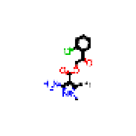 CC(C)c1c(C(=O)OCC(=O)c2ccccc2Cl)c(N)nn1C